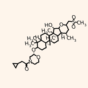 C[C@@H]1CC(CS(C)(=O)=O)OC2[C@H]1[C@@]1(C)CC[C@@]34C[C@@]35CCC(O[C@H]3CN(C(=O)CC6CC6)CCO3)C(C)(C)[C@@H]5CCC4[C@]1(C)[C@H]2O